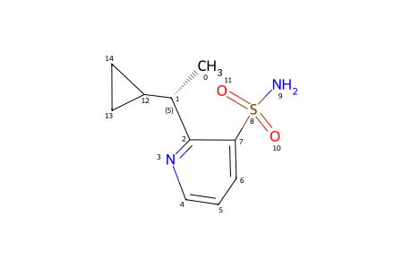 C[C@H](c1ncccc1S(N)(=O)=O)C1CC1